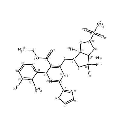 CCOC(=O)C1=C(CN2CC(F)(F)[C@@H]3CN(S(N)(=O)=O)C[C@@H]32)NC(c2nccs2)=N[C@H]1c1cccc(F)c1C